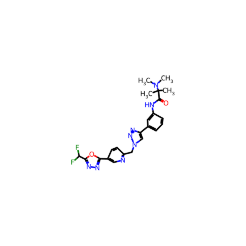 CN(C)C(C)(C)C(=O)Nc1cccc(-c2cn(Cc3ccc(-c4nnc(C(F)F)o4)cn3)nn2)c1